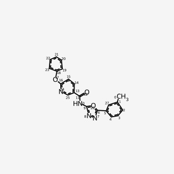 Cc1cccc(-c2nnc(NC(=O)c3ccc(Oc4ccccc4)nc3)o2)c1